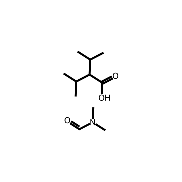 CC(C)C(C(=O)O)C(C)C.CN(C)C=O